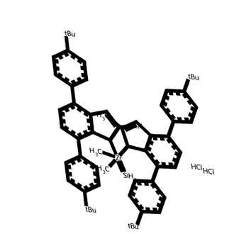 CC1=Cc2c(-c3ccc(C(C)(C)C)cc3)ccc(-c3ccc(C(C)(C)C)cc3)c2[CH]1[Zr]([CH3])([CH3])(=[SiH2])[CH]1C(C)=Cc2c(-c3ccc(C(C)(C)C)cc3)ccc(-c3ccc(C(C)(C)C)cc3)c21.Cl.Cl